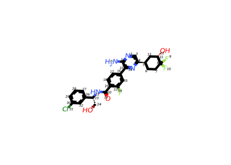 Nc1ncc([C@@H]2CCC(F)(F)[C@@H](O)C2)nc1-c1ccc(C(=O)N[C@H](CO)c2cccc(Cl)c2)c(F)c1